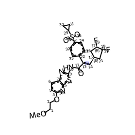 COCCOc1ccc2nc(NC(=O)/C(=C/[C@H]3C[C@@H](F)[C@@H](F)C3)c3ccc(S(=O)(=O)C4CC4)cc3)sc2n1